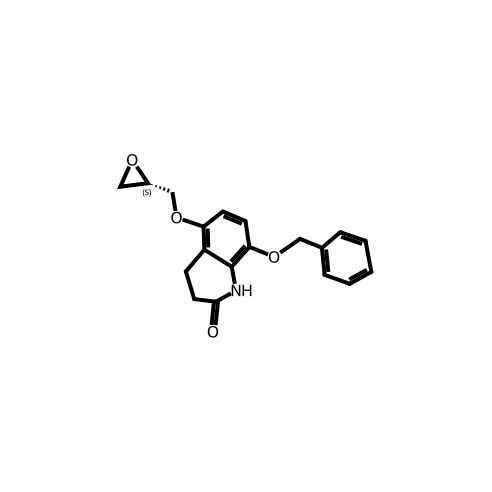 O=C1CCc2c(OC[C@@H]3CO3)ccc(OCc3ccccc3)c2N1